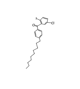 CCCCCCCCCCc1ccc(C(=O)c2cc(Cl)ccc2I)cc1